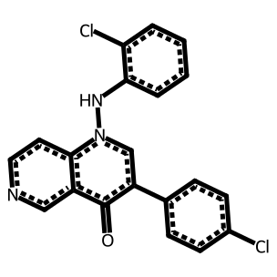 O=c1c(-c2ccc(Cl)cc2)cn(Nc2ccccc2Cl)c2ccncc12